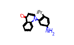 CC(C)c1ccc(N)cc1-n1ccc(=O)c2ccccc21